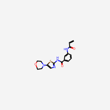 C=CC(=O)Nc1cccc(C(=O)Nc2ncc(N3CCOCC3)s2)c1